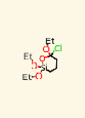 CCOC1(Cl)CCC[Si](OCC)(OCC)O1